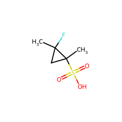 CC1(F)CC1(C)S(=O)(=O)O